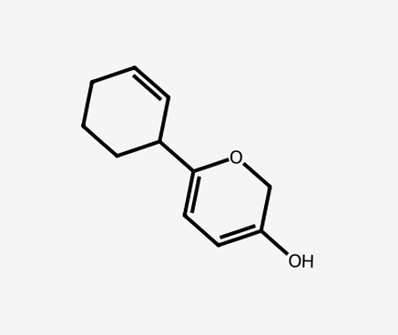 OC1=CC=C(C2C=CCCC2)OC1